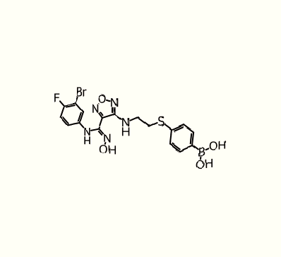 O/N=C(\Nc1ccc(F)c(Br)c1)c1nonc1NCCSc1ccc(B(O)O)cc1